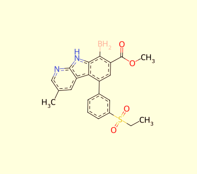 Bc1c(C(=O)OC)cc(-c2cccc(S(=O)(=O)CC)c2)c2c1[nH]c1ncc(C)cc12